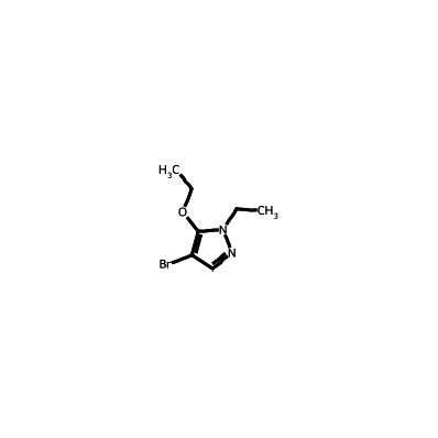 CCOc1c(Br)[c]nn1CC